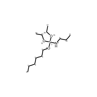 CCCCCCO[Si](NCCC)(OCC)OCC